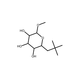 COC1OC(CC(C)(C)C)C(O)C(O)C1O